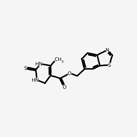 CC1=C(C(=O)OCc2ccc3ncsc3c2)CNC(=S)N1